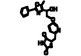 Cc1oc(-c2ccccc2)nc1C(O)COc1ccc(CC2SC(=O)NC2=O)nc1